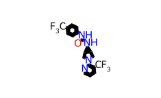 O=C(Nc1ccc(C(F)(F)F)cc1)NC1C2CN(c3ncccc3C(F)(F)F)CC21